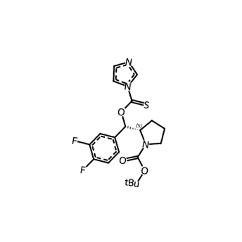 CC(C)(C)OC(=O)N1CCC[C@H]1C(OC(=S)n1ccnc1)c1ccc(F)c(F)c1